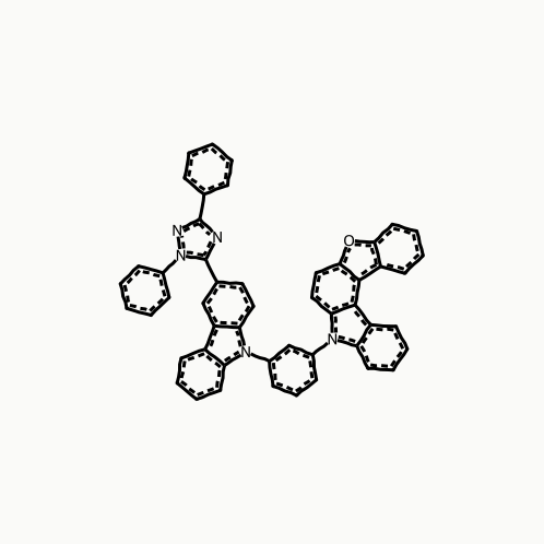 c1ccc(-c2nc(-c3ccc4c(c3)c3ccccc3n4-c3cccc(-n4c5ccccc5c5c6c(ccc54)oc4ccccc46)c3)n(-c3ccccc3)n2)cc1